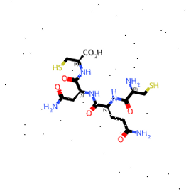 NC(=O)CC[C@H](NC(=O)[C@@H](N)CS)C(=O)N[C@@H](CC(N)=O)C(=O)N[C@@H](CS)C(=O)O